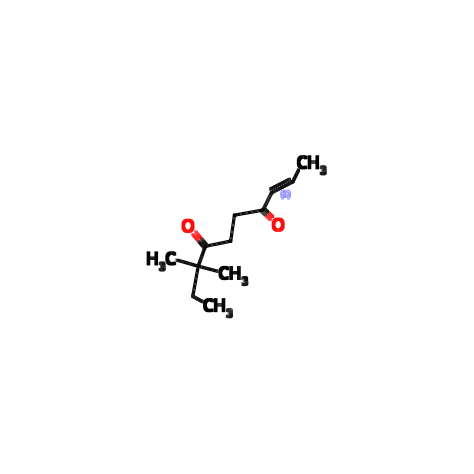 C/C=C/C(=O)CCC(=O)C(C)(C)CC